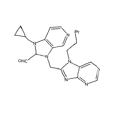 CC(C)CCn1c(CN2c3cnccc3N(C3CC3)C2C=O)nc2ncccc21